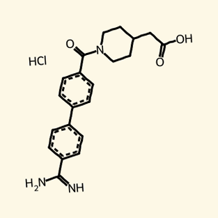 Cl.N=C(N)c1ccc(-c2ccc(C(=O)N3CCC(CC(=O)O)CC3)cc2)cc1